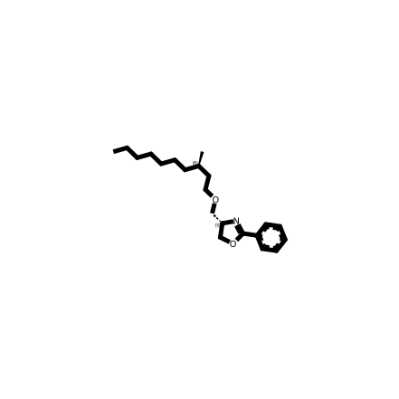 CCCCCCC[C@@H](C)CCOC[C@H]1COC(c2ccccc2)=N1